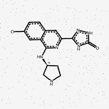 O=c1[nH]nc(-c2cc3ccc(Cl)cc3c(N[C@H]3CCNC3)n2)[nH]1